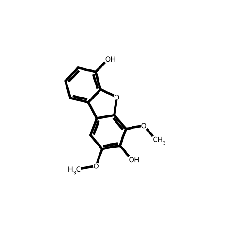 COc1cc2c(oc3c(O)cccc32)c(OC)c1O